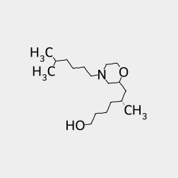 CC(C)CCCCN1CCOC(C[C@H](C)CCCCO)C1